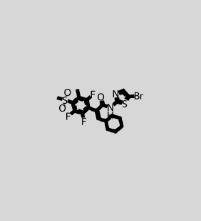 Cc1c(F)c(C(=CC2CCCCC2)C(=O)Nc2ncc(Br)s2)c(F)c(F)c1S(C)(=O)=O